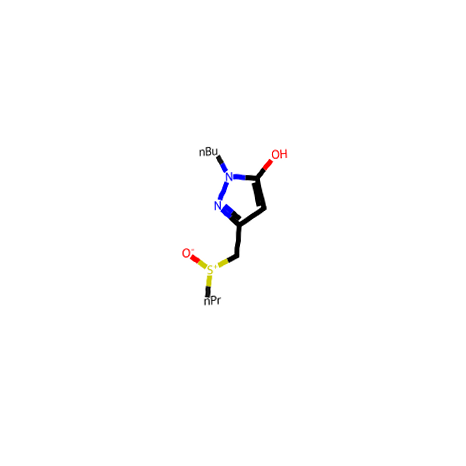 CCCCn1nc(C[S+]([O-])CCC)cc1O